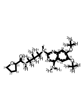 [2H]N([2H])c1nc(N(C)C([2H])([2H])C([2H])([2H])C([2H])([2H])N([2H])C(=O)C2CCCO2)nc2cc(OC([2H])([2H])[2H])c(OC([2H])([2H])[2H])cc12